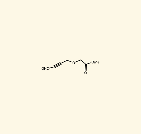 COC(=O)COCC#CC=O